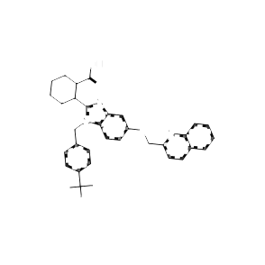 O=C(O)C1CCCCC1c1nc2cc(OCc3ccc4ccccc4n3)ccc2n1Cc1ccc(C(F)(F)F)cc1